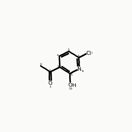 CC(=O)c1ccc(Cl)nc1O